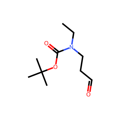 CCN(CCC=O)C(=O)OC(C)(C)C